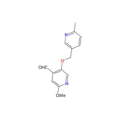 COc1cc(C=O)c(OCc2ccc(C)nc2)cn1